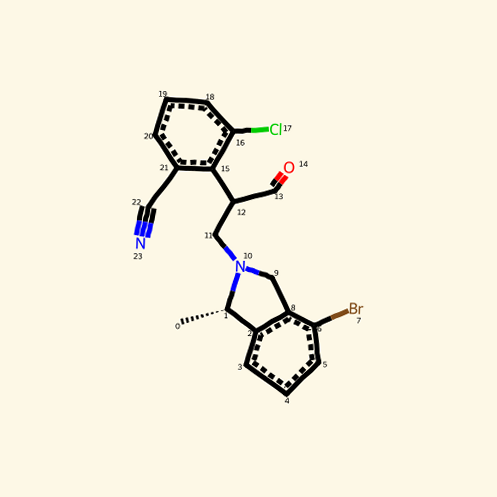 C[C@H]1c2cccc(Br)c2CN1CC(C=O)c1c(Cl)cccc1C#N